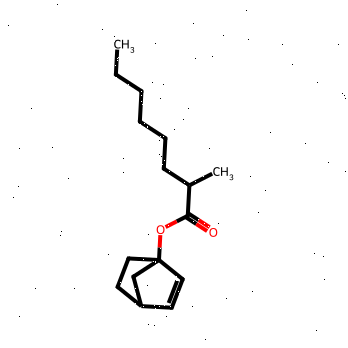 CCCCCCC(C)C(=O)OC12C=CC(CC1)C2